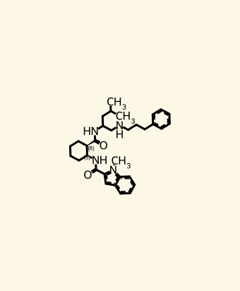 CC(C)CC(CNCCCc1ccccc1)NC(=O)[C@@H]1CCCC[C@@H]1NC(=O)c1cc2ccccc2n1C